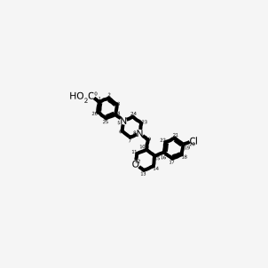 O=C(O)c1ccc(N2CCN(CC3COCCC3c3ccc(Cl)cc3)CC2)cc1